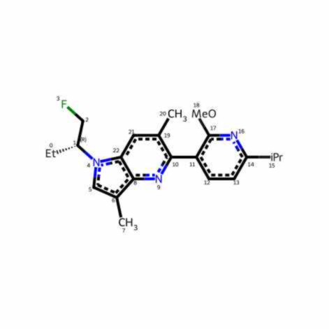 CC[C@H](CF)n1cc(C)c2nc(-c3ccc(C(C)C)nc3OC)c(C)cc21